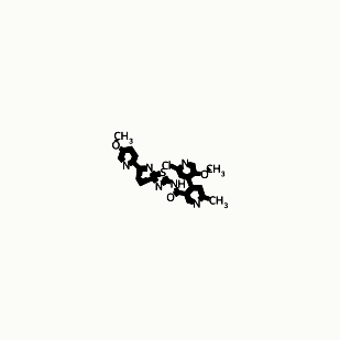 COc1ccc(-c2ccc3nc(NC(=O)c4cnc(C)cc4-c4cc(Cl)ncc4OC)sc3n2)nc1